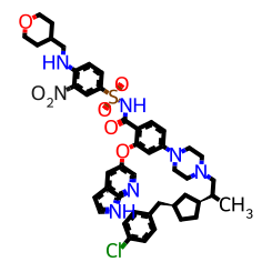 CC(CN1CCN(c2ccc(C(=O)NS(=O)(=O)c3ccc(NCC4CCOCC4)c([N+](=O)[O-])c3)c(Oc3cnc4[nH]ccc4c3)c2)CC1)[C@H]1CC[C@@H](Cc2ccc(Cl)cc2)C1